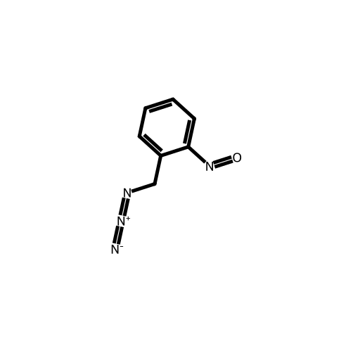 [N-]=[N+]=NCc1ccccc1N=O